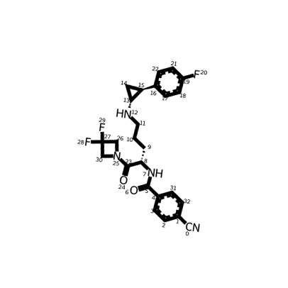 N#Cc1ccc(C(=O)N[C@@H](CCCN[C@@H]2C[C@H]2c2ccc(F)cc2)C(=O)N2CC(F)(F)C2)cc1